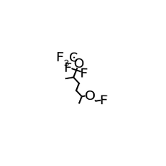 CC(CCC(C)C(F)(F)OC(F)(F)F)OCF